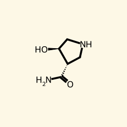 NC(=O)[C@H]1CNC[C@@H]1O